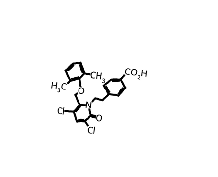 Cc1cccc(C)c1OCc1c(Cl)cc(Cl)c(=O)n1CCc1ccc(C(=O)O)cc1